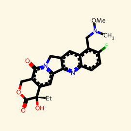 CC[C@@]1(O)C(=O)OCc2c1cc1n(c2=O)Cc2cc3c(CN(C)OC)c(F)ccc3nc2-1